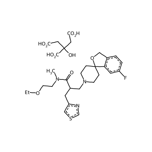 CCOCCN(C)C(=O)C(Cc1cscn1)CN1CCC2(CC1)OCc1ccc(F)cc12.O=C(O)CC(O)(CC(=O)O)C(=O)O